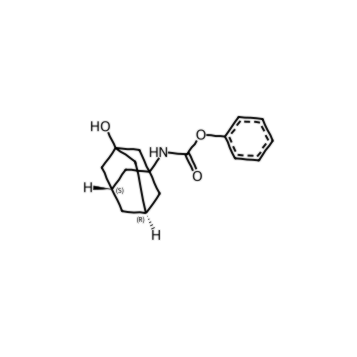 O=C(NC12C[C@@H]3C[C@@H](CC(O)(C3)C1)C2)Oc1ccccc1